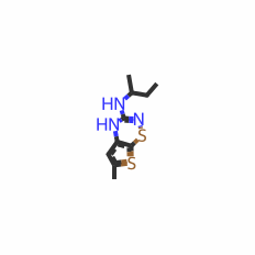 CCC(C)NC1=NSc2sc(C)cc2N1